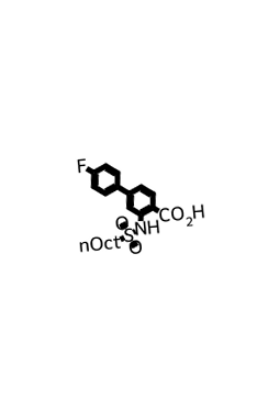 CCCCCCCCS(=O)(=O)Nc1cc(-c2ccc(F)cc2)ccc1C(=O)O